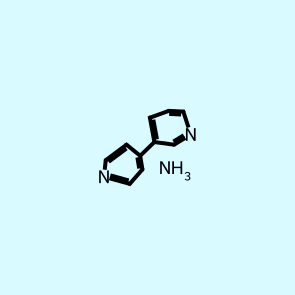 N.c1cncc(-c2ccncc2)c1